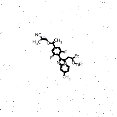 C=C(O/C=C(\C)C#N)c1cc(F)c(-c2nc3cc(C)ccn3c2CC(CC)OCCC)c(F)c1